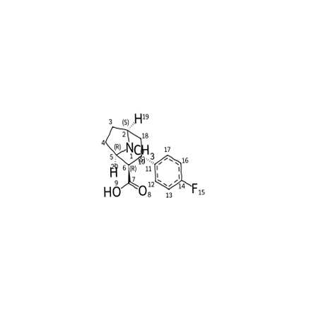 CN1[C@H]2CC[C@@H]1[C@H](C(=O)O)[C@@H](c1ccc(F)cc1)C2